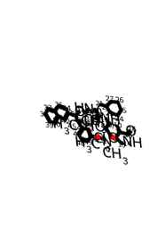 CCN(CC)C(=O)C(O)[C@H](CC1CCNC1=O)NC(=O)[C@H](CC1CCCCC1)NC(=O)OC(c1ccc2ccccc2c1)C(C)(C)c1cccc(Cl)c1